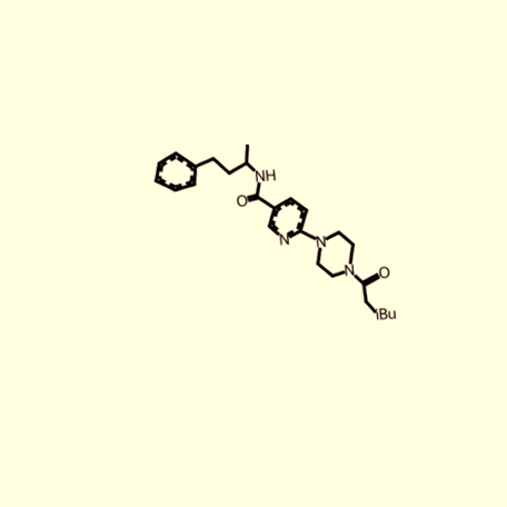 CCC(C)CC(=O)N1CCN(c2ccc(C(=O)NC(C)CCc3ccccc3)cn2)CC1